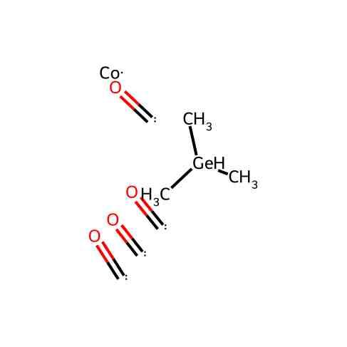 [CH3][GeH]([CH3])[CH3].[C]=O.[C]=O.[C]=O.[C]=O.[Co]